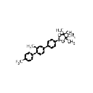 Cc1cc(-c2ccc(B3OC(C)(C)C(C)(C)O3)cc2)ccc1-c1ccc(C(F)(F)F)cc1